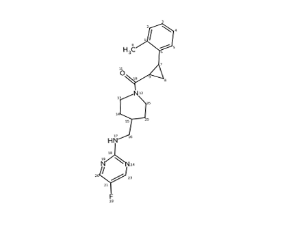 Cc1ccccc1C1CC1C(=O)N1CCC(CNc2ncc(F)cn2)CC1